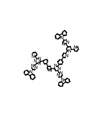 c1ccc(-c2cc(-c3ncc(-n4c5ccccc5c5ccccc54)cn3)cc(-c3ccc(-c4ccc(-c5nc(-c6cc(-c7cccc(-c8nc(-c9ccccn9)nc(-c9ncc(-n%10c%11ccccc%11c%11ccccc%11%10)cn9)n8)c7)ccn6)cc(-c6ncc(-n7c8ccccc8c8ccccc87)cn6)n5)cc4)cn3)n2)nc1